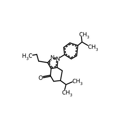 CCCc1nn(-c2ccc(C(C)C)cc2)c2c1C(=O)CC(C(C)C)C2